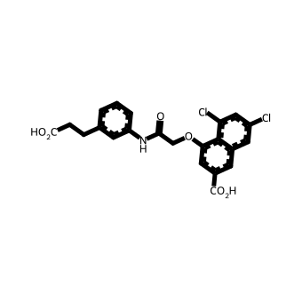 O=C(O)CCc1cccc(NC(=O)COc2cc(C(=O)O)cc3cc(Cl)cc(Cl)c23)c1